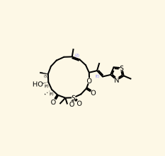 C/C1=C/CC(/C(C)=C/c2csc(C)n2)OC(=O)CS(=O)(=O)C(C)(C)C(=O)[C@H](C)[C@H](O)[C@@H](C)CCC1